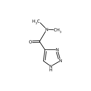 CN(C)C(=O)c1c[nH]nn1